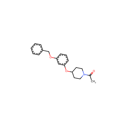 CC(=O)N1CCC(Oc2cccc(OCc3ccccc3)c2)CC1